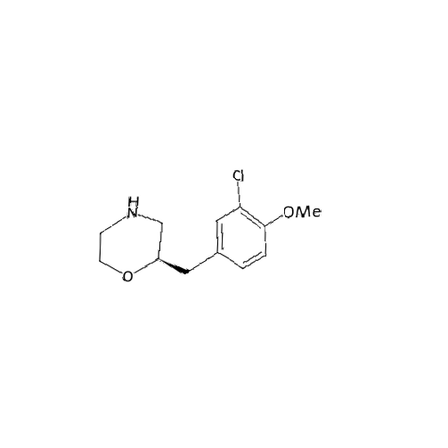 COc1ccc(C[C@@H]2CNCCO2)cc1Cl